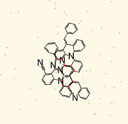 N#Cc1cccc(-c2cccc(N3c4ccccc4C(=Cc4ccccc4)c4ccccc43)c2-c2nc(-c3ccccc3)nc(-c3c(C#N)cccc3N3c4ccccc4C(=Cc4ccccc4)c4ccccc43)n2)c1